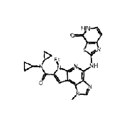 CCn1c(C(=O)N(C2CC2)C2CC2)cc2c3c(ncn3C)c(Nc3nc4cc[nH]c(=O)c4s3)nc21